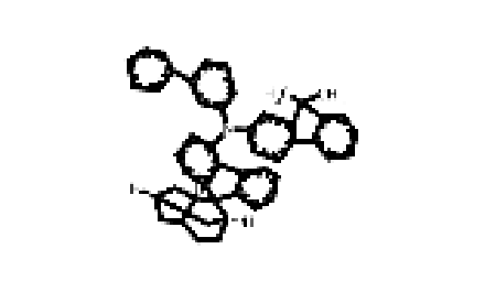 CC1(C)c2ccccc2-c2ccc(N(c3cccc(-c4ccccc4)c3)c3cccc4c3-c3ccccc3C43[C@H]4CCC5C[C@@H](C4)C[C@H]53)cc21